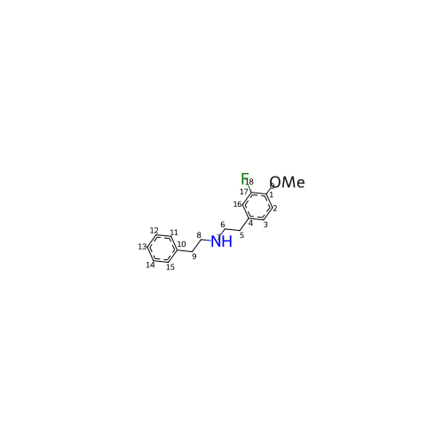 COc1ccc(CCNCCc2ccccc2)cc1F